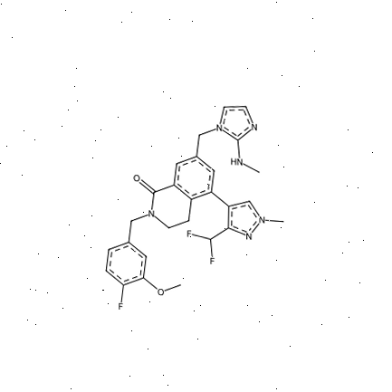 CNc1nccn1Cc1cc2c(c(-c3cn(C)nc3C(F)F)c1)CCN(Cc1ccc(F)c(OC)c1)C2=O